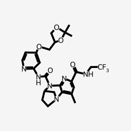 Cc1cc(C(=O)NCC(F)(F)F)nc2c1N1CCC(C1)N2C(=O)Nc1cc(OCC2COC(C)(C)O2)ccn1